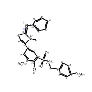 COc1ccc(CNS(=O)(=O)c2cc(-c3cs/c(=N/c4ccccc4)n3C)ccc2Cl)cc1.Cl